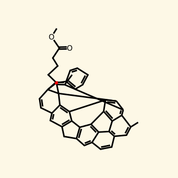 COC(=O)CCCC1(c2ccccc2)C23C=Cc4cc5c6c7c4C21c1c(c2c(C)cc4ccc8cc(c6c6c8c4c2c6c17)C5)C(C)=C3